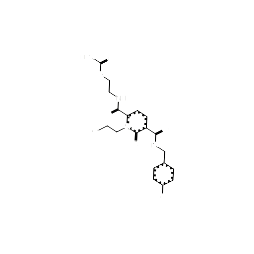 NC(=O)OCCNC(=O)c1ccc(C(=O)NCc2ccc(Cl)cc2)c(=O)n1CCCl